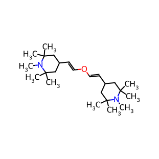 CN1C(C)(C)CC(C=COC=CC2CC(C)(C)N(C)C(C)(C)C2)CC1(C)C